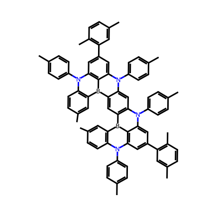 Cc1ccc(N2c3ccc(C)cc3B3c4cc5c(cc4N(c4ccc(C)cc4)c4cc(-c6cc(C)ccc6C)cc2c43)N(c2ccc(C)cc2)c2cc(-c3cc(C)ccc3C)cc3c2B5c2cc(C)ccc2N3c2ccc(C)cc2)cc1